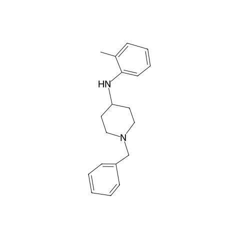 Cc1ccccc1NC1CCN(Cc2ccccc2)CC1